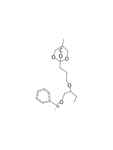 CCC(CO[C@H](C)c1ccccc1)OCCCC12OCC(C)(CO1)CO2